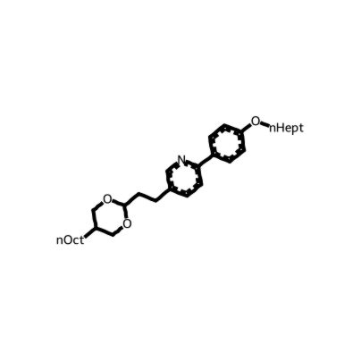 CCCCCCCCC1COC(CCc2ccc(-c3ccc(OCCCCCCC)cc3)nc2)OC1